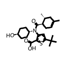 CC1=CC[C@@H](C(=O)N(c2cc(C(C)(C)C)sc2C(=O)O)[C@H]2CC[C@H](O)CC2)[C@H](C)C1